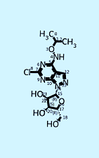 CC(C)ONc1nc(Cl)nc2c1cnn2[C@@H]1O[C@H](CO)[C@@H](O)[C@H]1O